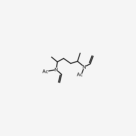 C=CN(C(C)=O)C(C)CCC(C)N(C=C)C(C)=O